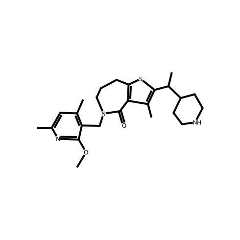 COc1nc(C)cc(C)c1CN1CCCc2sc(C(C)C3CCNCC3)c(C)c2C1=O